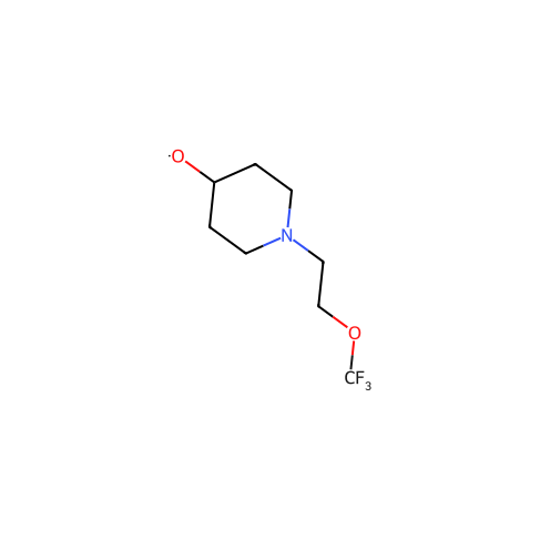 [O]C1CCN(CCOC(F)(F)F)CC1